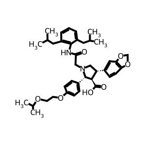 CC(C)Cc1cccc(CC(C)C)c1NC(=O)CN1C[C@H](c2ccc3c(c2)OCO3)[C@@H](C(=O)O)[C@@H]1c1ccc(OCCOC(C)C)cc1